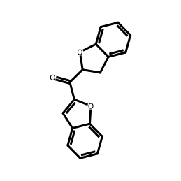 O=C(c1cc2ccccc2o1)C1Cc2ccccc2O1